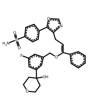 NS(=O)(=O)c1ccc(-c2ocnc2C/C=C(\OCc2cc(F)cc(C3(O)CCOCC3)c2)c2ccccc2)cc1